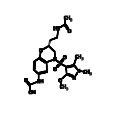 COc1nn(C)c(C)c1S(=O)(=O)N1C[C@@H](CCNC(C)=O)Oc2ccc(NC(=O)O)cc21